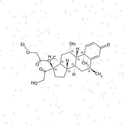 CCOCC(=O)O[C@]1(C(=O)CO)CC[C@H]2[C@@H]3C[C@H](C)C4=CC(=O)C=C[C@]4(C)[C@H]3[C@@H](O)C[C@@]21C